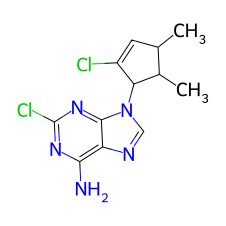 CC1C=C(Cl)C(n2cnc3c(N)nc(Cl)nc32)C1C